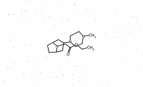 CCOC(=O)CN1C2CCC1CC(N1CCN(C)CC1)C2